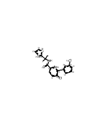 CC(C)(NC(=O)c1ccc(Cl)c(-c2cccc(Cl)c2)n1)c1ncco1